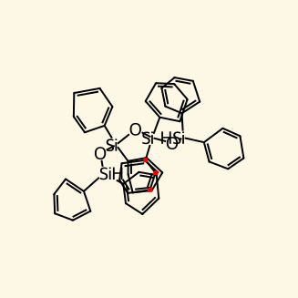 c1ccc([SiH](O[Si](O[Si](O[SiH](c2ccccc2)c2ccccc2)(c2ccccc2)c2ccccc2)(c2ccccc2)c2ccccc2)c2ccccc2)cc1